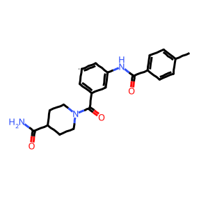 Cc1ccc(C(=O)Nc2c[c]cc(C(=O)N3CCC(C(N)=O)CC3)c2)cc1